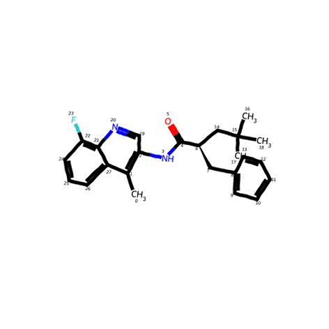 Cc1c(NC(=O)[C@H](Cc2ccccc2)CC(C)(C)C)cnc2c(F)cccc12